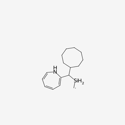 [CH2][SiH2]C(C1=CC=CC=CN1)C1CCCCCCC1